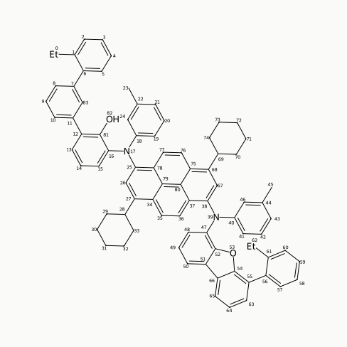 CCc1ccccc1-c1cccc(-c2cccc(N(c3cccc(C)c3)c3cc(C4CCCCC4)c4ccc5c(N(c6cccc(C)c6)c6cccc7c6oc6c(-c8ccccc8CC)cccc67)cc(C6CCCCC6)c6ccc3c4c65)c2O)c1